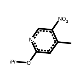 Cc1cc(OC(C)C)ncc1[N+](=O)[O-]